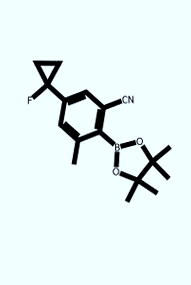 Cc1cc(C2(F)CC2)cc(C#N)c1B1OC(C)(C)C(C)(C)O1